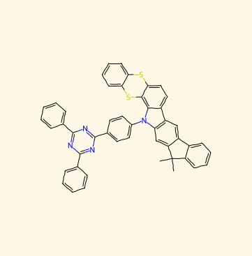 CC1(C)c2ccccc2-c2cc3c4ccc5c(c4n(-c4ccc(-c6nc(-c7ccccc7)nc(-c7ccccc7)n6)cc4)c3cc21)Sc1ccccc1S5